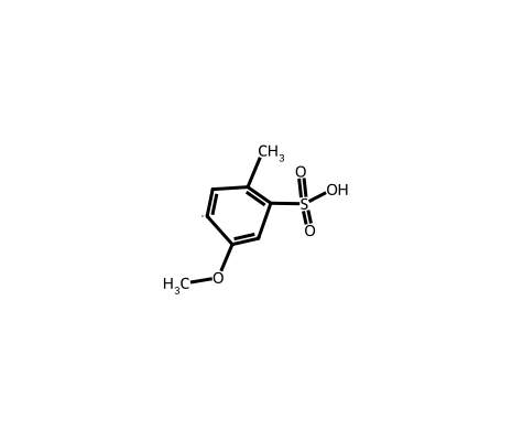 COc1[c]cc(C)c(S(=O)(=O)O)c1